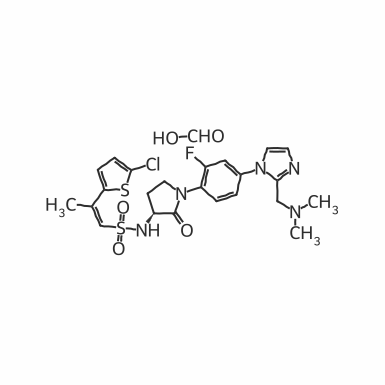 CC(=CS(=O)(=O)N[C@H]1CCN(c2ccc(-n3ccnc3CN(C)C)cc2F)C1=O)c1ccc(Cl)s1.O=CO